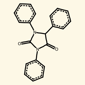 O=C1C(c2ccccc2)N(c2ccccc2)C(=O)N1c1ccccc1